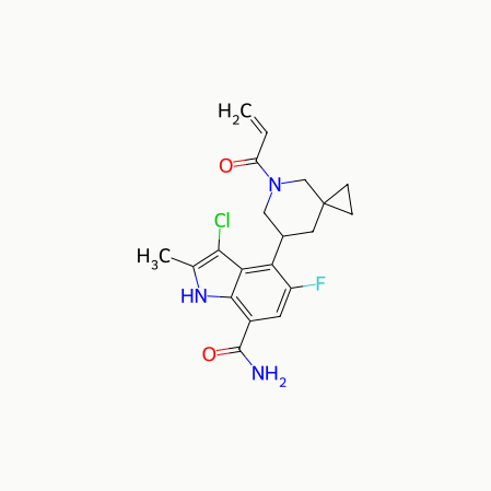 C=CC(=O)N1CC(c2c(F)cc(C(N)=O)c3[nH]c(C)c(Cl)c23)CC2(CC2)C1